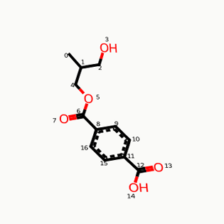 CC(CO)COC(=O)c1ccc(C(=O)O)cc1